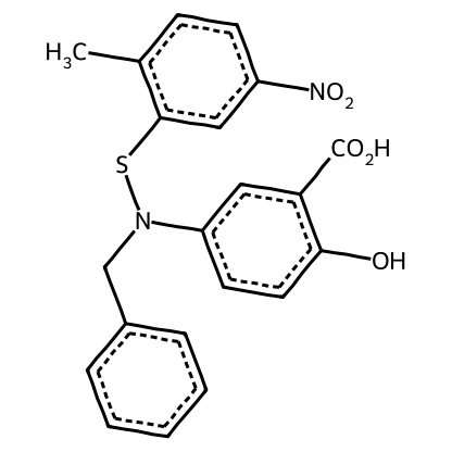 Cc1ccc([N+](=O)[O-])cc1SN(Cc1ccccc1)c1ccc(O)c(C(=O)O)c1